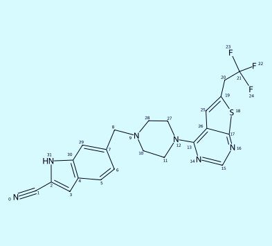 N#Cc1cc2ccc(CN3CCN(c4ncnc5sc(CC(F)(F)F)cc45)CC3)cc2[nH]1